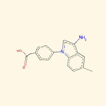 Cc1ccc2c(c1)c(N)cn2-c1ccc(C(=O)O)cc1